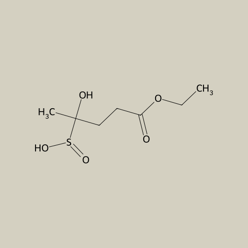 CCOC(=O)CCC(C)(O)S(=O)O